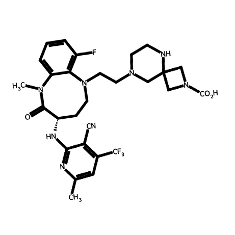 Cc1cc(C(F)(F)F)c(C#N)c(N[C@H]2CCN(CCN3CCNC4(C3)CN(C(=O)O)C4)c3c(F)cccc3N(C)C2=O)n1